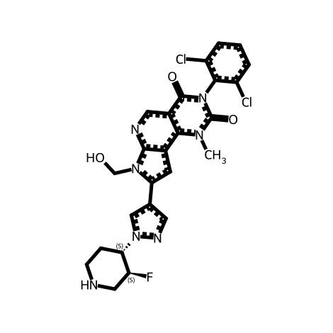 Cn1c(=O)n(-c2c(Cl)cccc2Cl)c(=O)c2cnc3c(cc(-c4cnn([C@H]5CCNC[C@@H]5F)c4)n3CO)c21